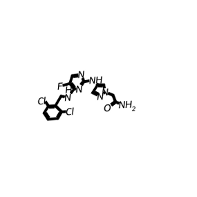 NC(=O)Cn1cc(Nc2ncc(F)c(NCc3c(Cl)cccc3Cl)n2)cn1